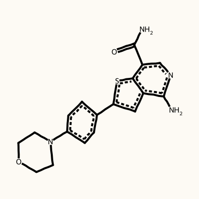 NC(=O)c1cnc(N)c2cc(-c3ccc(N4CCOCC4)cc3)sc12